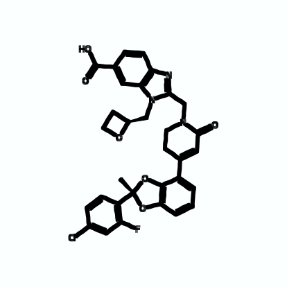 C[C@]1(c2ccc(Cl)cc2F)Oc2cccc(C3=CC(=O)N(Cc4nc5ccc(C(=O)O)cc5n4C[C@@H]4CCO4)CC3)c2O1